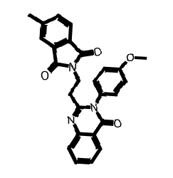 COc1ccc(-n2c(CCN3C(=O)c4ccc(C)cc4C3=O)nc3ccccc3c2=O)cc1